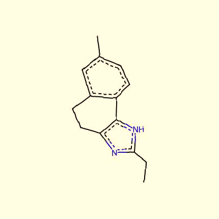 CCc1nc2c([nH]1)-c1ccc(C)cc1CC2